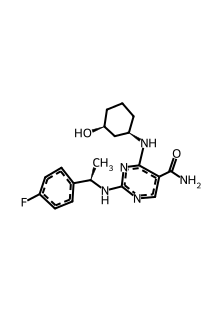 C[C@@H](Nc1ncc(C(N)=O)c(N[C@@H]2CCC[C@H](O)C2)n1)c1ccc(F)cc1